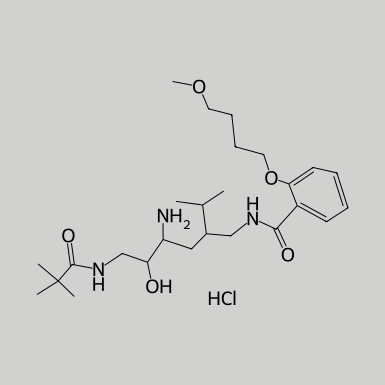 COCCCCOc1ccccc1C(=O)NCC(CC(N)C(O)CNC(=O)C(C)(C)C)C(C)C.Cl